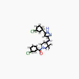 CC1(C)CN(C(=O)c2cccc(Cl)c2)CC/C1=C\c1cc(-c2cccc(Cl)c2)[nH]n1